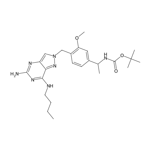 CCCCNc1nc(N)nc2cn(Cc3ccc(C(C)NC(=O)OC(C)(C)C)cc3OC)nc12